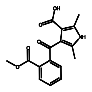 COC(=O)c1ccccc1C(=O)c1c(C)[nH]c(C)c1C(=O)O